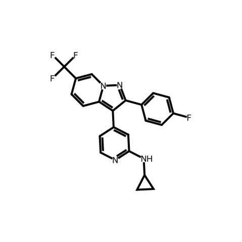 Fc1ccc(-c2nn3cc(C(F)(F)F)ccc3c2-c2ccnc(NC3CC3)c2)cc1